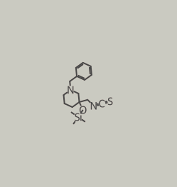 C[Si](C)(C)OC1(CN=C=S)CCCN(Cc2ccccc2)C1